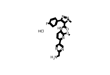 COc1nc(-c2cnc(CN)nc2)ccc1NC(=O)c1c(-c2ccc(F)cc2)nnn1C.Cl